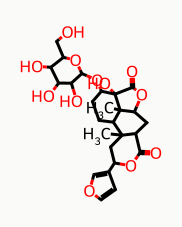 CC12CC(c3ccoc3)OC(=O)C1CC1OC(=O)C3(O)C(OC4OC(CO)C(O)C(O)C4O)CCC2C13C